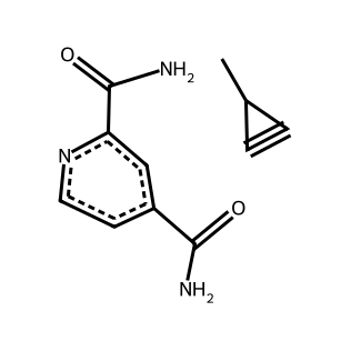 CC1C#C1.NC(=O)c1ccnc(C(N)=O)c1